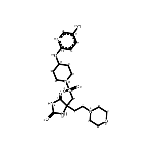 O=C1NC(=O)C(CCN2CCOCC2)(CS(=O)(=O)N2CCC(Oc3ccc(Cl)cn3)CC2)N1